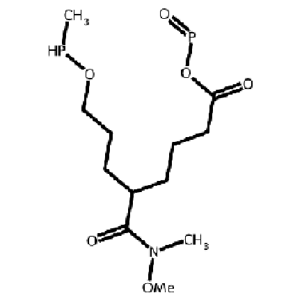 CON(C)C(=O)C(CCCOPC)CCCC(=O)OP=O